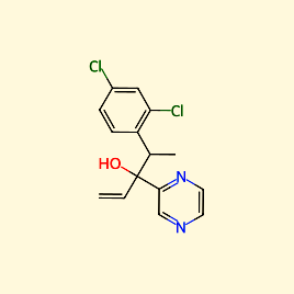 C=CC(O)(c1cnccn1)C(C)c1ccc(Cl)cc1Cl